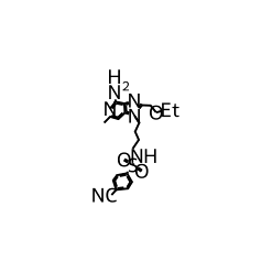 CCOCc1nc2c(N)nc(C)cc2n1CCCCNS(=O)(=O)c1ccc(C#N)cc1